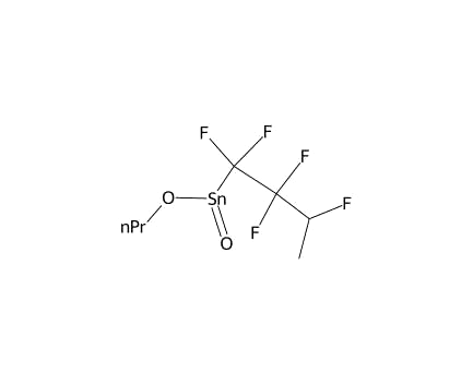 CCC[O][Sn](=[O])[C](F)(F)C(F)(F)C(C)F